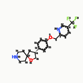 FC(F)(F)c1ccc(COc2ccc([C@@H]3COC4(CCNCC4)C3)cc2)nc1